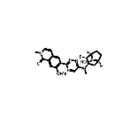 COc1cc2c(=O)n(C)ccc2cc1-c1ncc(N(C)[C@@H]2C[C@H]3CC[C@@H]([C@@H]2F)N3C(=O)O)nn1